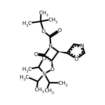 CC(C)[Si](O[C@H]1C(=O)N(C(=O)OC(C)(C)C)[C@H]1c1cnco1)(C(C)C)C(C)C